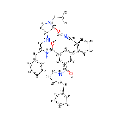 CC(C)CN1CC[C@H](NC[C@H](Cc2ccccc2)NC(=O)c2cc(C(=O)N3CCCC3Cc3ccccc3)cc(-c3ccccc3C#N)c2)C1=O